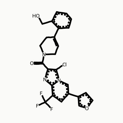 O=C(c1nc2c(C(F)(F)F)cc(-c3ccoc3)cn2c1Cl)N1CC=C(c2ccccc2CO)CC1